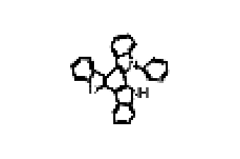 c1ccc(-n2c3ccccc3c3c4c5ccccc5oc4c4c5ccccc5[nH]c4c32)cc1